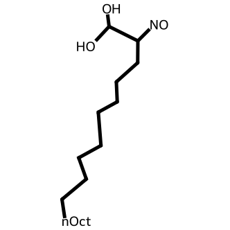 CCCCCCCCCCCCCCCCC(N=O)C(O)O